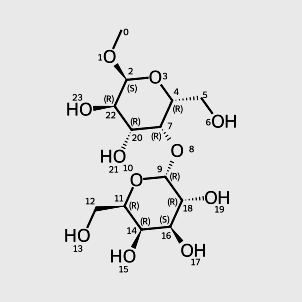 CO[C@H]1O[C@H](CO)[C@H](O[C@H]2O[C@H](CO)[C@H](O)[C@H](O)[C@H]2O)[C@H](O)[C@H]1O